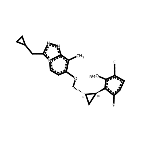 COc1c(F)ccc(F)c1[C@H]1C[C@@H]1COc1ccn2c(CC3CC3)nnc2c1C